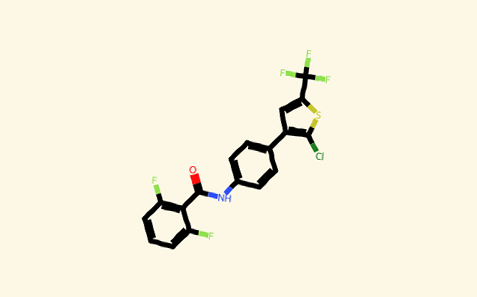 O=C(Nc1ccc(-c2cc(C(F)(F)F)sc2Cl)cc1)c1c(F)cccc1F